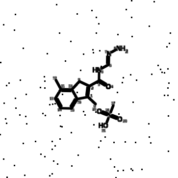 CC1=C(C(=O)NC=NN)Cc2c(C)cccc21.CS(=O)(=O)O